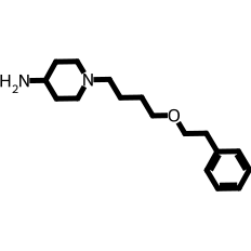 NC1CCN(CCCCOCCc2ccccc2)CC1